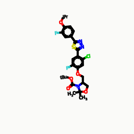 CC(C)Oc1ccc(-c2nnc(-c3cc(F)c(OCC4COC(C)(C)N4C(=O)OC(C)(C)C)cc3Cl)s2)cc1F